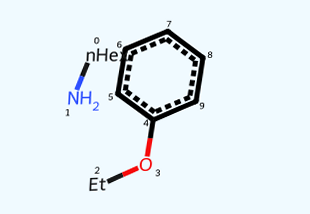 CCCCCCN.CCOc1ccccc1